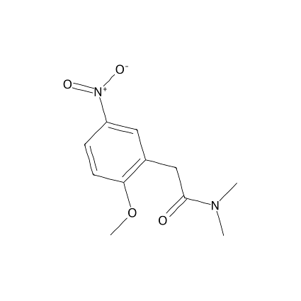 COc1ccc([N+](=O)[O-])cc1CC(=O)N(C)C